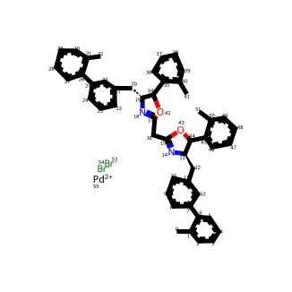 Cc1ccccc1-c1cccc(C[C@H]2N=C(CC3=N[C@H](Cc4cccc(-c5ccccc5C)c4)C(c4ccccc4C)O3)OC2c2ccccc2C)c1.[Br-].[Br-].[Pd+2]